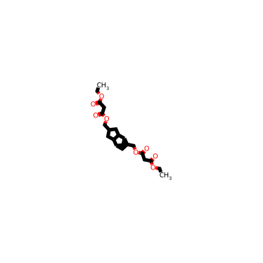 CCOC(=O)CC(=O)OCC1CC2C3CC(COC(=O)CC(=O)OCC)C(C3)C2C1